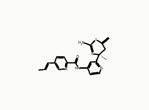 C=C1C[C@@](C)(c2cc(NC(=O)c3ccc(/C=C/C)cn3)ccn2)N=C(N)S1